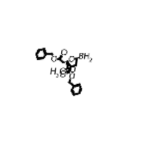 B[C@@H]1O[C@@]2(CC(=O)OCc3ccccc3)C(C)OC1C2C(=O)OCc1ccccc1